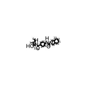 CC[C@H](C)[C@](C)(O)NC(=O)c1ccc(NC(=O)N2Cc3ccccc3C2)cc1